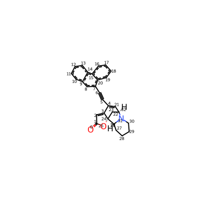 O=C1C=C2C(C#Cc3cc4ccccc4c4ccccc34)=C[C@@H]3C[C@@]2(O1)[C@H]1CCCCN31